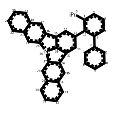 CC(C)c1cccc(-c2ccccc2)c1-c1cc2c3cc4ccccc4cc3n3c4cc5ccccc5cc4c(c1)c23